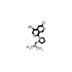 CC(C)c1cnc(N2CCC[C@H]2CN(C)C)c2cnc(Cl)cc12